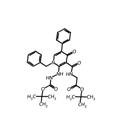 CC(C)(C)OC(=O)CNC(=O)c1c(NNC(=O)OC(C)(C)C)n(Cc2ccccc2)cc(-c2ccccc2)c1=O